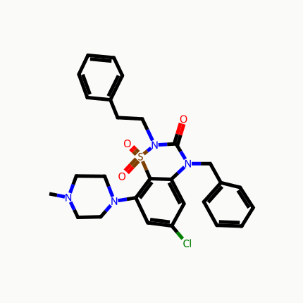 CN1CCN(c2cc(Cl)cc3c2S(=O)(=O)N(CCc2ccccc2)C(=O)N3Cc2ccccc2)CC1